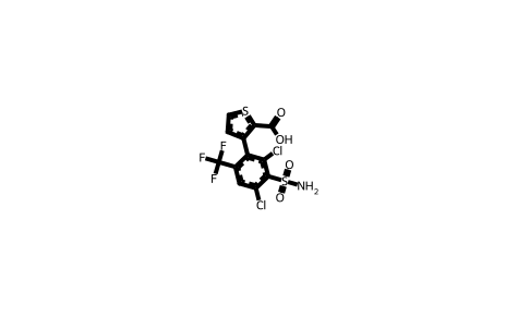 NS(=O)(=O)c1c(Cl)cc(C(F)(F)F)c(-c2ccsc2C(=O)O)c1Cl